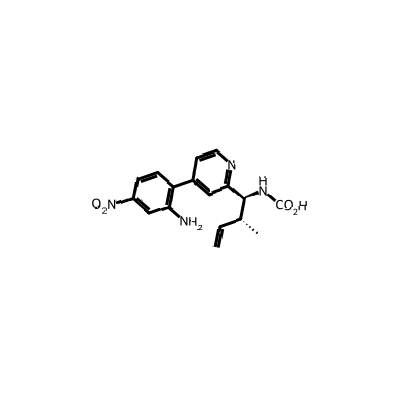 C=C[C@@H](C)[C@H](NC(=O)O)c1cc(-c2ccc([N+](=O)[O-])cc2N)ccn1